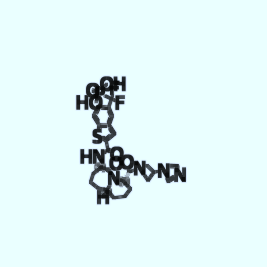 O=C(N[C@H]1CCC[C@H]2CCC[C@@H](C(=O)N3CC(n4ccnc4)C3)N2C1=O)c1cc2cc(C(F)(F)P(=O)(O)O)ccc2s1